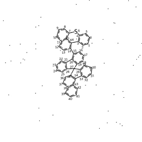 c1ccc2c(c1)Sc1cccc3ccc(-c4cccc5c4-c4ccccc4C54c5ccccc5-c5c4ccc4ccccc54)c-2c13